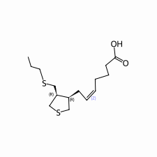 CCCSC[C@@H]1CSC[C@@H]1C/C=C\CCCC(=O)O